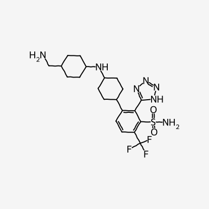 NCC1CCC(NC2CCC(c3ccc(C(F)(F)F)c(S(N)(=O)=O)c3-c3nnn[nH]3)CC2)CC1